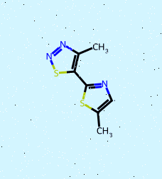 Cc1[c]nc(-c2snnc2C)s1